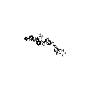 Cc1nn(Cc2cccc(C3CCC3)n2)c2cccc(NC(=O)c3cnc4cc(OCCN5CCN(C)C(C)C5)ccn34)c12